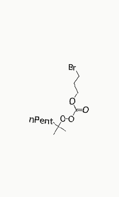 CCCCCC(C)(C)OOC(=O)OCCCBr